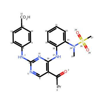 CC(C)C(=O)c1cnc(Nc2ccc(C(=O)O)cc2)nc1Nc1ccccc1N(C)S(C)(=O)=O